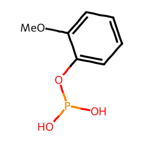 COc1ccccc1OP(O)O